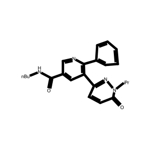 CCCCNC(=O)c1cnc(-c2ccccc2)c(-c2ccc(=O)n(C(C)C)n2)c1